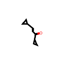 O=C(/C=C/C1CC1)C1CC1